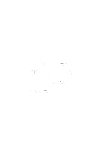 C=Cc1ccccc1.[Cl][Co][Cl]